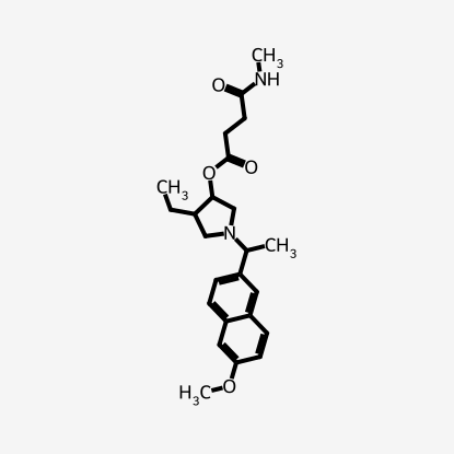 CCC1CN(C(C)c2ccc3cc(OC)ccc3c2)CC1OC(=O)CCC(=O)NC